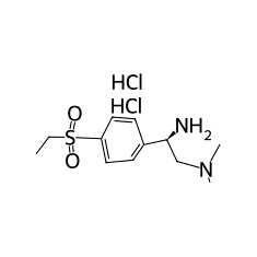 CCS(=O)(=O)c1ccc([C@@H](N)CN(C)C)cc1.Cl.Cl